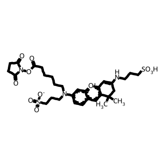 CC1(C)CC(NCCCS(=O)(=O)O)=Cc2[o+]c3cc(N(CCCCCC(=O)ON4C(=O)CCC4=O)CCCS(=O)(=O)[O-])ccc3cc21